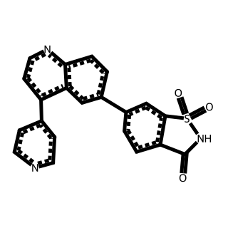 O=C1NS(=O)(=O)c2cc(-c3ccc4nccc(-c5ccncc5)c4c3)ccc21